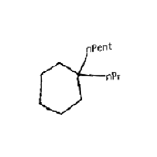 CCCCCC1(CCC)CCCCC1